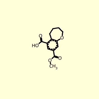 COC(=O)c1cc2c(c(C(=O)O)c1)CCCCO2